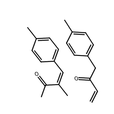 C=CC(=O)Cc1ccc(C)cc1.CC(=O)C(C)=Cc1ccc(C)cc1